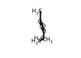 CCCCCCCCCCOc1ccc(C(=O)Oc2ccc(OCCCCCCC(C)(C)CCCC)cc2)cc1